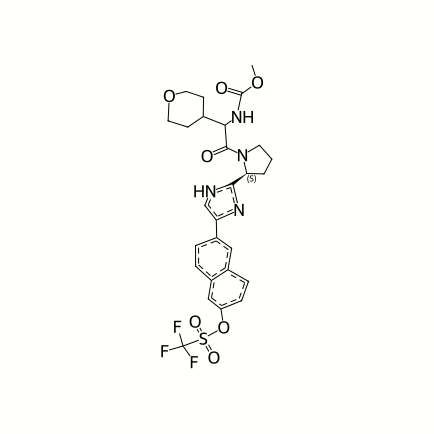 COC(=O)NC(C(=O)N1CCC[C@H]1c1nc(-c2ccc3cc(OS(=O)(=O)C(F)(F)F)ccc3c2)c[nH]1)C1CCOCC1